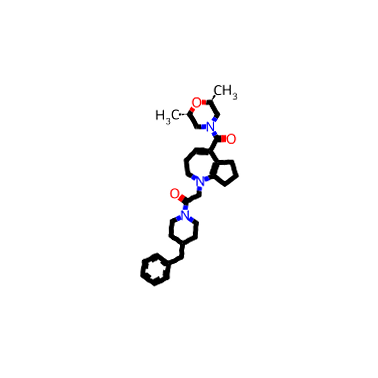 C[C@@H]1CN(C(=O)C2=CCCN(CC(=O)N3CCC(Cc4ccccc4)CC3)C3=C2CCC3)C[C@H](C)O1